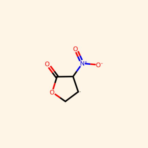 O=C1OC[CH]C1[N+](=O)[O-]